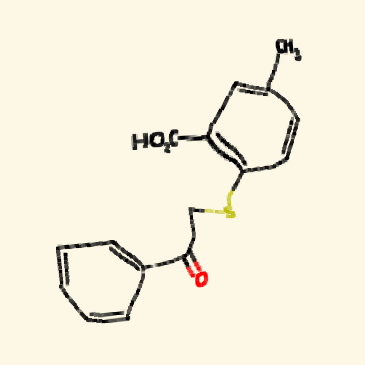 Cc1ccc(SCC(=O)c2ccccc2)c(C(=O)O)c1